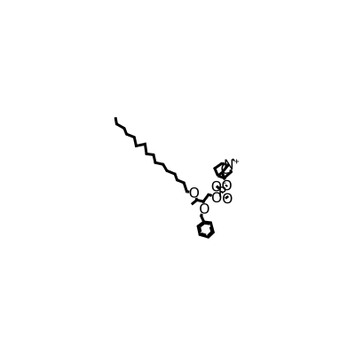 CCCCCCCCCCCCCCCCOC(C)C(COP(=O)([O-])OC1C[N+]2(C)CCC1CC2)OCc1ccccc1